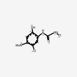 CCNC(=O)Nc1cc(Cl)c(NC)cc1O